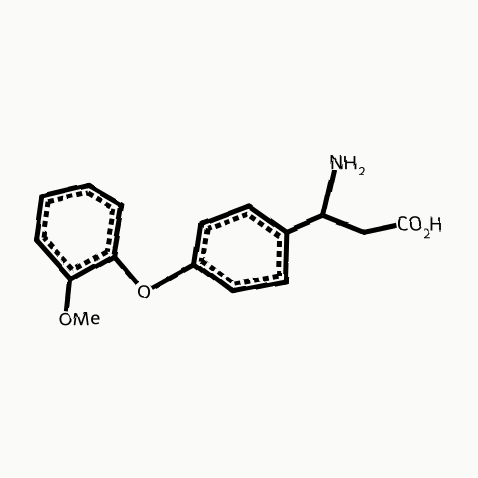 COc1ccccc1Oc1ccc(C(N)CC(=O)O)cc1